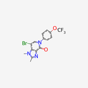 Cc1nc2c(=O)n(-c3ccc(OC(F)(F)F)cc3)cc(Br)c2n1C